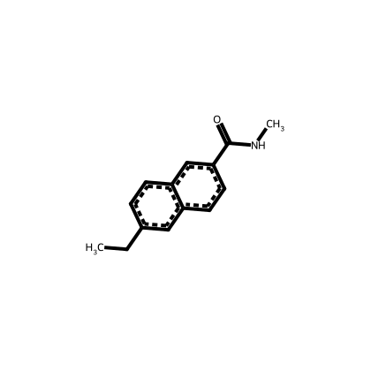 CCc1ccc2cc(C(=O)NC)ccc2c1